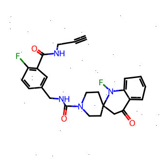 C#CCNC(=O)c1cc(CNC(=O)N2CCC3(CC2)CC(=O)c2ccccc2N3F)ccc1F